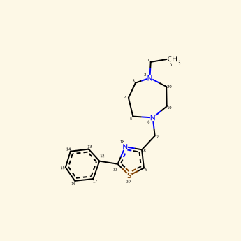 CCN1CCCN(Cc2csc(-c3ccccc3)n2)CC1